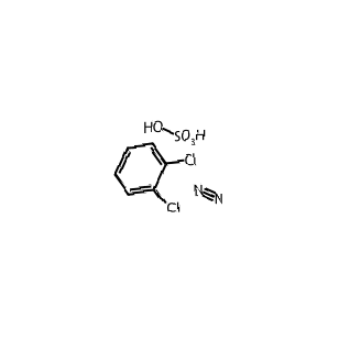 Clc1ccccc1Cl.N#N.O=S(=O)(O)O